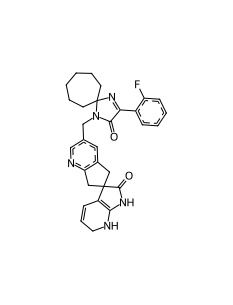 O=C1C(c2ccccc2F)=NC2(CCCCCC2)N1Cc1cnc2c(c1)CC1(C2)C(=O)NC2=C1C=CCN2